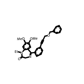 CCN1C(=O)CN=C(c2cccc(C#CCOCc3ccccc3)c2)c2cc(OC)c(OC)cc21